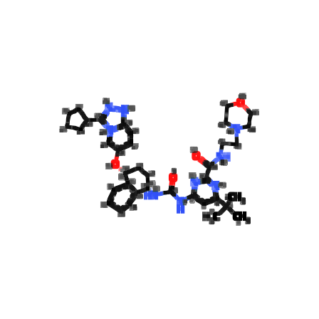 CC(C)(C)c1cc(NC(=O)N[C@H]2CC[C@@H](Oc3ccc4nnc(C5CCCC5)n4c3)c3ccccc32)nc(C(=O)NCCN2CCOCC2)n1